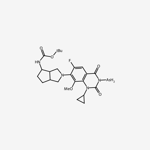 COc1c(N2CC3CCC(NC(=O)OC(C)(C)C)C3C2)c(F)cc2c(=O)n([AsH2])c(=O)n(C3CC3)c12